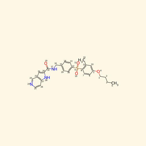 CCCCOc1ccc(S(=O)(=O)c2ccc(CNC(=O)c3cc4cnccc4[nH]3)cc2)c(C)c1